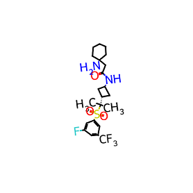 CC(C)([C@H]1C[C@@H](NC(=O)CC2(N)CCCCC2)C1)S(=O)(=O)c1cc(F)cc(C(F)(F)F)c1